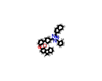 CC1(C)c2ccccc2-c2c1ccc1c2Oc2c(cccc2-c2ccc(-c3nc(-c4ccccc4)nc(-c4ccc5ccccc5c4)n3)cc2)O1